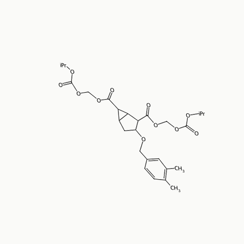 Cc1ccc(COC2CC3C(C(=O)OCOC(=O)OC(C)C)C3C2C(=O)OCOC(=O)OC(C)C)cc1C